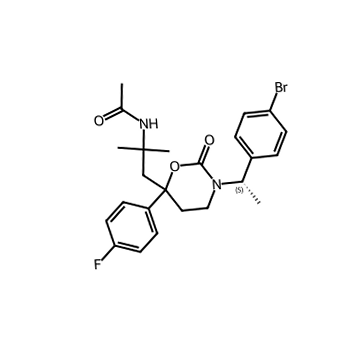 CC(=O)NC(C)(C)CC1(c2ccc(F)cc2)CCN([C@@H](C)c2ccc(Br)cc2)C(=O)O1